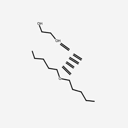 C=C.C=C.C=C.C=C.C=C.CCCCCOCCCCC.OCCO